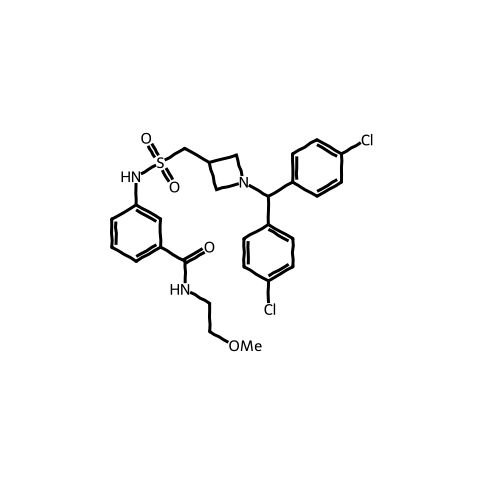 COCCNC(=O)c1cccc(NS(=O)(=O)CC2CN(C(c3ccc(Cl)cc3)c3ccc(Cl)cc3)C2)c1